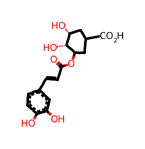 O=C(/C=C/c1ccc(O)c(O)c1)OC1CC(C(=O)O)C[C@@H](O)[C@H]1O